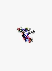 CC=CCCCCN(C)C(=O)N1C[C@H](Oc2cc(-c3csc(C(C)C)n3)nc3c(C)c(OC)ccc23)C(C)(C)[C@H]1C(=O)NC1(C(=O)NS(=O)(=O)C2CC2)CC1